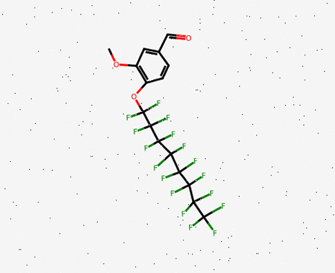 COc1cc(C=O)ccc1OC(F)(F)C(F)(F)C(F)(F)C(F)(F)C(F)(F)C(F)(F)C(F)(F)C(F)(F)F